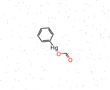 O=[C][O][Hg][c]1ccccc1